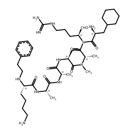 CC(C)C[C@H](NC(=O)[C@H](C)NC(=O)[C@H](C)NC(=O)[C@H](CCCCN)NCCc1ccccc1)C(=O)N(C)[C@@H](C)C(=O)N(C(=O)[C@@H](N)CC1CCCCC1)[C@H]([C]=O)CCCNC(=N)N